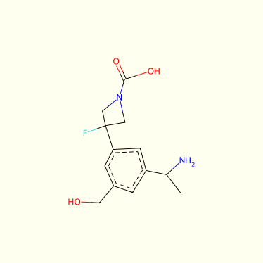 CC(N)c1cc(CO)cc(C2(F)CN(C(=O)O)C2)c1